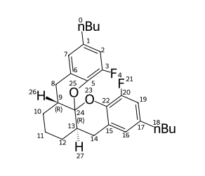 CCCCc1cc(F)c2c(c1)C[C@H]1CCC[C@@H]3Cc4cc(CCCC)cc(F)c4OC13O2